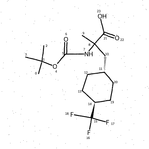 CC(C)(C)OC(=O)NC(C)(C[C@H]1CC[C@H](C(F)(F)F)CC1)C(=O)O